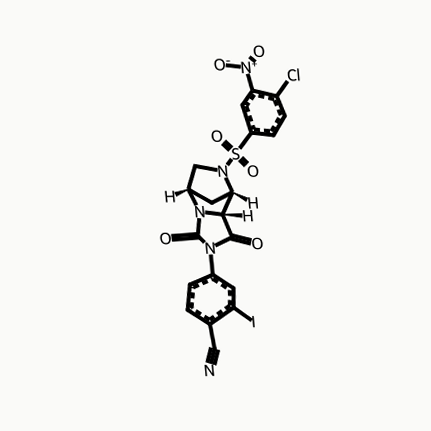 N#Cc1ccc(N2C(=O)[C@H]3[C@@H]4C[C@@H](CN4S(=O)(=O)c4ccc(Cl)c([N+](=O)[O-])c4)N3C2=O)cc1I